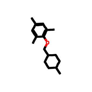 Cc1cc(C)c(OCC2CCC(C)CC2)c(C)c1